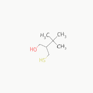 CC(C)(C)C(CO)CS